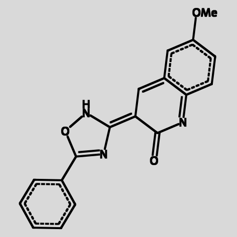 COc1ccc2c(c1)=CC(=C1N=C(c3ccccc3)ON1)C(=O)N=2